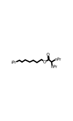 CCCC(CCC)C(=O)OCCCCCCCC(C)C